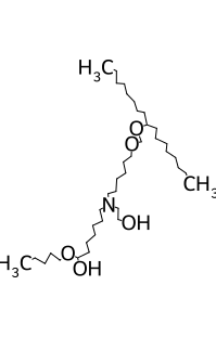 CCCCCCCCC(CCCCCCCC)OCOCCCCCCN(CCO)CCCCCCC(O)OCCCCC